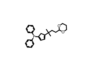 CC(C)(CCC1OCCCO1)C1=CC=C(P(c2ccccc2)c2ccccc2)C1